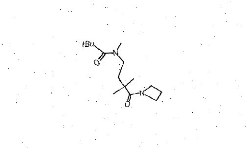 CN(CCC(C)(C)C(=O)N1CCC1)C(=O)C(C)(C)C